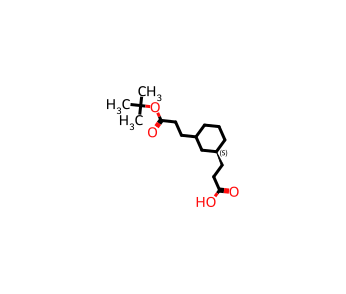 CC(C)(C)OC(=O)CCC1CCC[C@@H](CCC(=O)O)C1